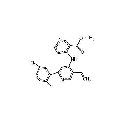 C=Cc1cnc(-c2cc(Cl)ccc2F)cc1Nc1ccncc1C(=O)OC